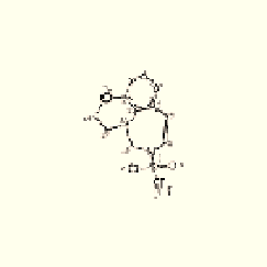 O=S(=O)(N1C=Cc2cccc3c2C(CCO3)C1)C(F)(F)F